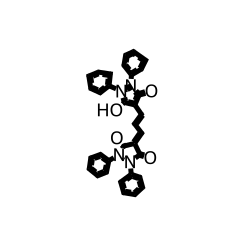 O=C1C(=CC=Cc2c(O)n(-c3ccccc3)n(-c3ccccc3)c2=O)C(=O)N(c2ccccc2)N1c1ccccc1